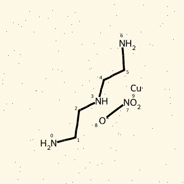 NCCNCCN.O=[N+]([O-])[O-].[Cu]